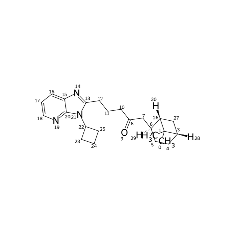 CC1(C)[C@H]2CC[C@@H](CC(=O)CCCc3nc4cccnc4n3C3CCC3)[C@@H]1C2